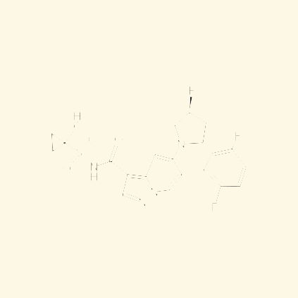 CC1(S(=O)(=O)NC(=O)c2cnn3ccc(N4C[C@@H](F)C[C@@H]4c4cc(F)ccc4F)cc23)CC1